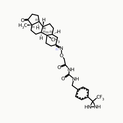 C[C@]12CC/C(=N\OCC(=O)NC(=O)NCc3ccc(C4(C(F)(F)F)NN4)cc3)C[C@@H]1CC[C@@H]1[C@@H]2CC[C@]2(C)C(=O)CC[C@@H]12